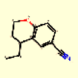 CCC1CCOc2ccc(C#N)cc21